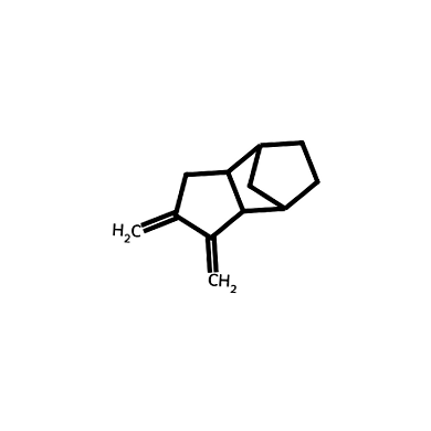 C=C1CC2C3CCC(C3)C2C1=C